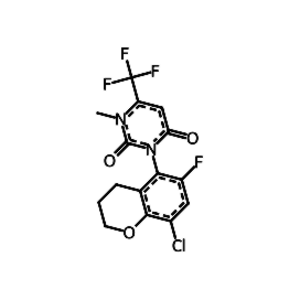 Cn1c(C(F)(F)F)cc(=O)n(-c2c(F)cc(Cl)c3c2CCCO3)c1=O